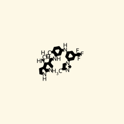 CNc1c(C(=O)Nc2cc(Nc3cc(-n4cnc(C)c4)cc(C(F)(F)F)c3)ccc2C)cnc2[nH]ccc12